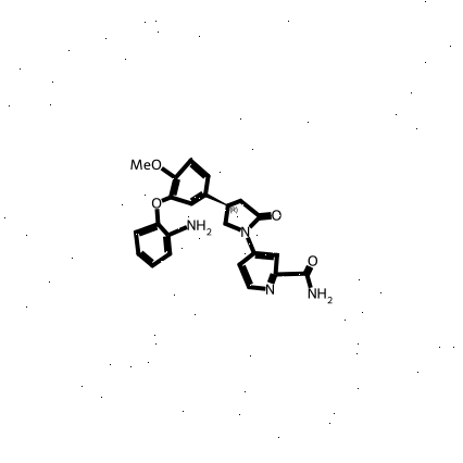 COc1ccc([C@H]2CC(=O)N(c3ccnc(C(N)=O)c3)C2)cc1Oc1ccccc1N